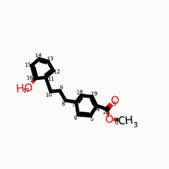 COC(=O)c1ccc(CCCc2ccccc2O)cc1